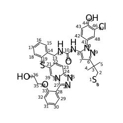 CSCC(C)(C)c1cc(NC(=O)NCc2ccccc2Sc2ccc3nnc(-c4ccccc4OCCO)n3c2)n(-c2ccc(O)c(Cl)c2)n1